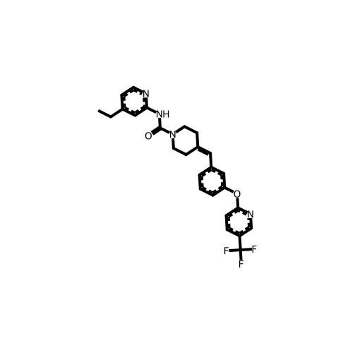 CCc1ccnc(NC(=O)N2CCC(=Cc3cccc(Oc4ccc(C(F)(F)F)cn4)c3)CC2)c1